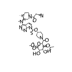 COO[C@@H]1OC(C(=O)N2CCC(OC(=S)n3ccc4c(N(C)[C@H]5CN(C(=O)CC#N)CC[C@H]5C)ncnc43)CC2)[C@@H](OC(C)C)C(O)C1O